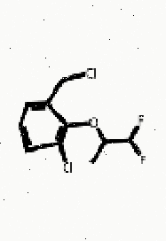 CC(Oc1c(Cl)cccc1CCl)C(F)F